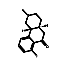 CN1CC[C@H]2CC(=O)c3c(F)cccc3[C@@H]2C1